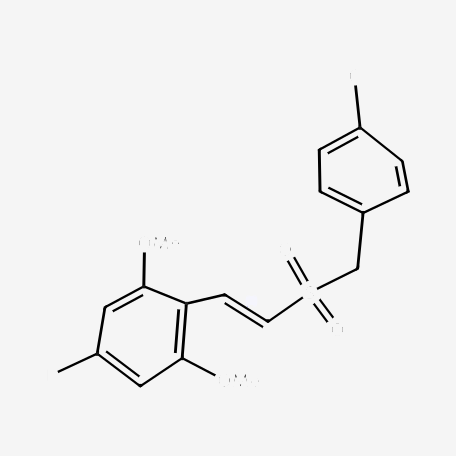 COc1cc(F)cc(OC)c1/C=C/S(=O)(=O)Cc1ccc(Cl)cc1